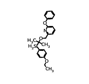 CCOc1ccc([SiH2]C(C)(C)OCc2cccc(Oc3ccccc3)n2)cc1